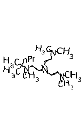 CCCC(C)(C)N(C)CCN(CCN(C)C)CCN(C)C